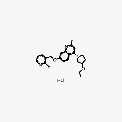 CCOC1CCN(c2cc(C)nc3cc(OCc4cccnc4F)ccc23)C1.Cl